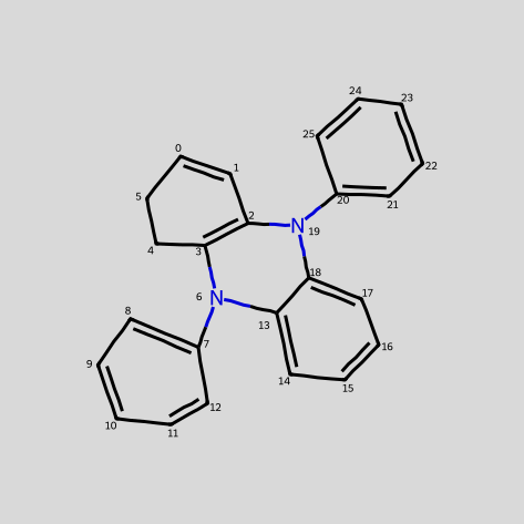 C1=CC2=C(CC1)N(c1ccccc1)c1ccccc1N2c1ccccc1